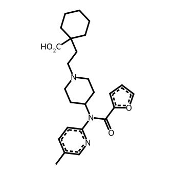 Cc1ccc(N(C(=O)c2ccco2)C2CCN(CCC3(C(=O)O)CCCCC3)CC2)nc1